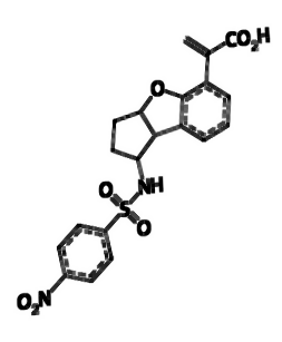 C=C(C(=O)O)c1cccc2c1OC1CCC(NS(=O)(=O)c3ccc([N+](=O)[O-])cc3)C21